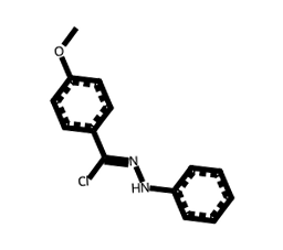 COc1ccc(/C(Cl)=N/Nc2ccccc2)cc1